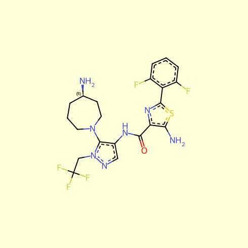 Nc1sc(-c2c(F)cccc2F)nc1C(=O)Nc1cnn(CC(F)(F)F)c1N1CCC[C@@H](N)CC1